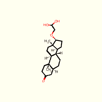 C[C@]12CCC(=O)C[C@@H]1CC[C@@H]1[C@@H]2CC[C@]2(C)[C@@H](OCC(O)O)CC[C@@H]12